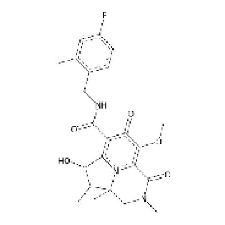 COc1c2n3c(c(C(=O)NCc4ccc(F)cc4F)c1=O)C(O)C(C)C3(C)CN(C)C2=O